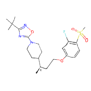 C[C@H](CCOc1ccc(S(C)(=O)=O)c(F)c1)C1CCN(c2nc(C(C)(C)C)no2)CC1